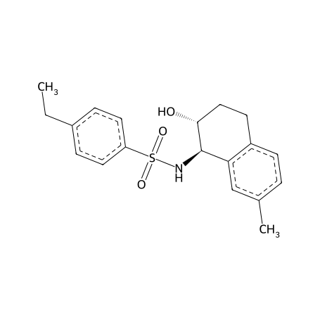 CCc1ccc(S(=O)(=O)N[C@@H]2c3cc(C)ccc3CC[C@H]2O)cc1